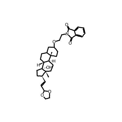 C[C@]12CCC(OCCN3C(=O)c4ccccc4C3=O)CC1CC[C@@H]1[C@@H]2CC[C@]2(C)[C@@H](/C=C/C3OCCO3)CC[C@@]12O